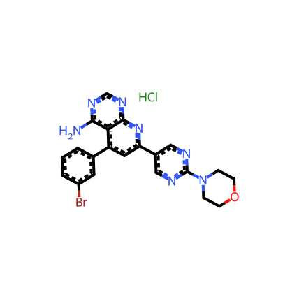 Cl.Nc1ncnc2nc(-c3cnc(N4CCOCC4)nc3)cc(-c3cccc(Br)c3)c12